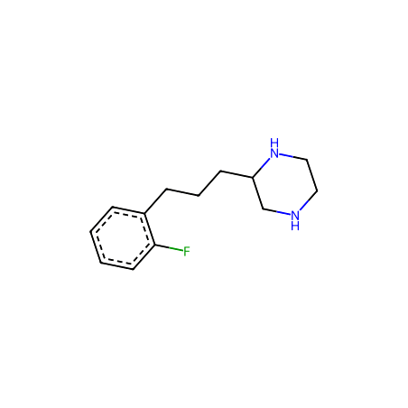 Fc1ccccc1CCCC1CNCCN1